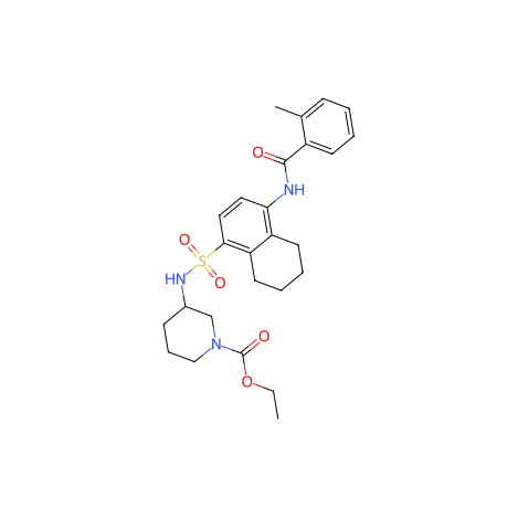 CCOC(=O)N1CCCC(NS(=O)(=O)c2ccc(NC(=O)c3ccccc3C)c3c2CCCC3)C1